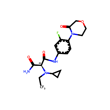 NC(=O)[C@@H](C(=O)Nc1ccc(N2CCOCC2=O)c(F)c1)N(CC(F)(F)F)C1CC1